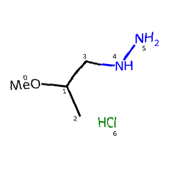 COC(C)CNN.Cl